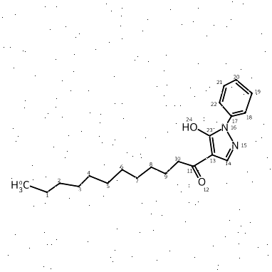 CCCCCCCCCCCC(=O)c1cnn(-c2ccccc2)c1O